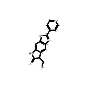 CC(C)CC1C(=O)Nc2cc3[nH]c(-c4ccncc4)nc3cc21